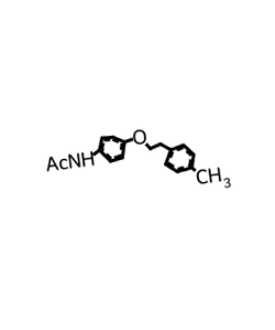 CC(=O)Nc1ccc(OCCc2ccc(C)cc2)cc1